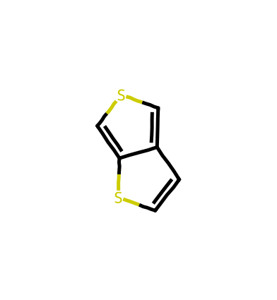 c1cc2cscc2s1